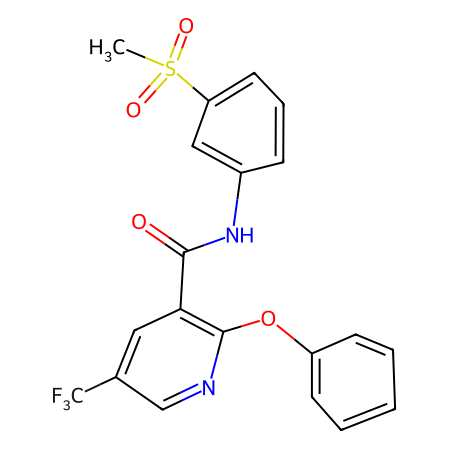 CS(=O)(=O)c1cccc(NC(=O)c2cc(C(F)(F)F)cnc2Oc2ccccc2)c1